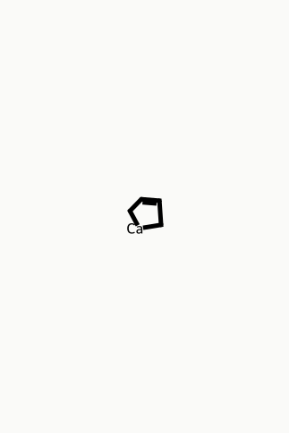 C1=C[CH2][Ca][CH2]1